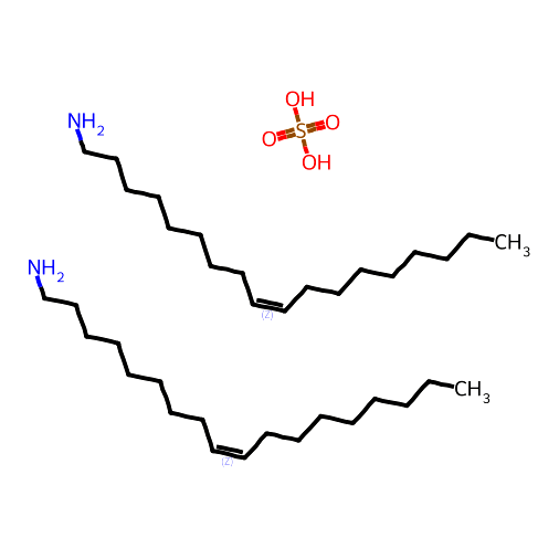 CCCCCCCC/C=C\CCCCCCCCN.CCCCCCCC/C=C\CCCCCCCCN.O=S(=O)(O)O